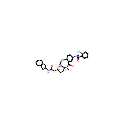 CN1C(=O)c2cc(NC(=O)c3ccccc3Cl)ccc2OC[C@@H]2O[C@H](CC(=O)NC3Cc4ccccc4C3)CC[C@@H]21